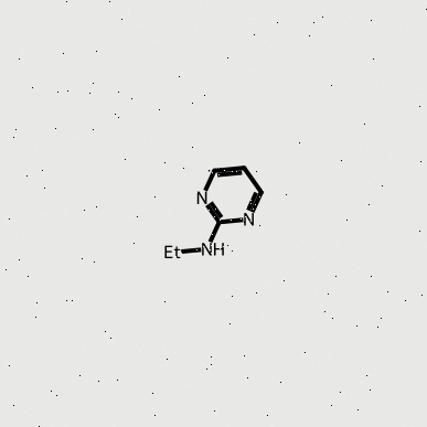 CCNc1n[c]ccn1